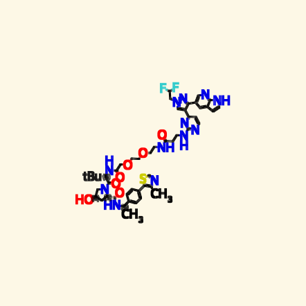 Cc1ncsc1-c1ccc([C@H](C)NC(=O)[C@@H]2C[C@@H](O)CN2C(=O)[C@@H](NC(=O)COCCOCCNC(=O)CCNc2nccc(-c3cn(CC(F)F)nc3-c3cnc4[nH]ccc4c3)n2)C(C)(C)C)cc1